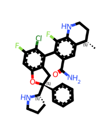 C[C@H]1CCNc2c1cc(C(N)=O)c(-c1c(Cl)c(F)cc3c1C[C@](c1ccccc1)([C@@H]1CCCN1)O3)c2F